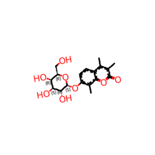 Cc1c(C)c2ccc(O[C@@H]3O[C@H](CO)[C@H](O)[C@H](O)[C@H]3O)c(C)c2oc1=O